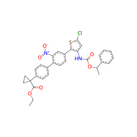 CCOC(=O)C1(c2ccc(-c3ccc(-c4sc(Cl)cc4NC(=O)OC(C)c4ccccc4)cc3[N+](=O)[O-])cc2)CC1